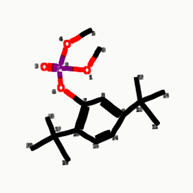 COP(=O)(OC)Oc1cc(C(C)(C)C)ccc1C(C)(C)C